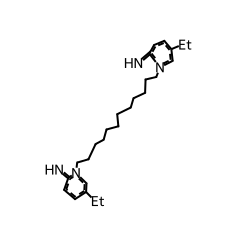 CCc1ccc(=N)n(CCCCCCCCCCCCn2cc(CC)ccc2=N)c1